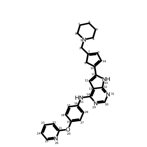 C1=C(CN2CCCCC2)CC(c2cc3c(Nc4ccc(Oc5ccccn5)cc4)ncnc3[nH]2)=C1